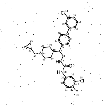 O=C(NCC(c1ccc(-c2cccc(Cl)c2)cc1)C1CCN(CC2CC2)CC1)Nc1ccc(F)c(Cl)c1